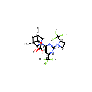 O=C(O)CC1[C@@H]2C[C@H]1CN(c1cc(C(F)(F)F)nc(N3CC[C@@H]3C(F)(F)F)n1)C2